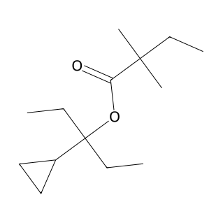 CCC(C)(C)C(=O)OC(CC)(CC)C1CC1